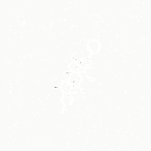 Cc1ccc(N(C)O[C@]2(C(=O)CO)[C@H](I)C[C@H]3[C@@H]4C[C@H](F)C5=CC(=O)C=C[C@]5(C)[C@@]4(F)[C@@H](O)C[C@@]32C)cc1